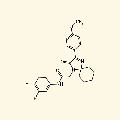 O=C(CN1C(=O)C(c2ccc(OC(F)(F)F)cc2)=NC12CCCCC2)Nc1ccc(F)c(F)c1